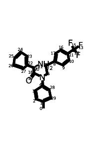 Cc1ccc(N(CCc2ccc(C(F)(F)F)cc2)C(=O)[C@H](N)c2ccccc2)cc1